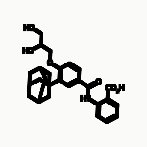 O=C(Nc1ccccc1C(=O)O)c1ccc(OCC(O)CO)c(C23CC4CC(CC(C4)C2)C3)c1